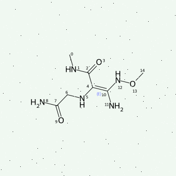 CNC(=O)/C(NCC(N)=O)=C(/N)NOC